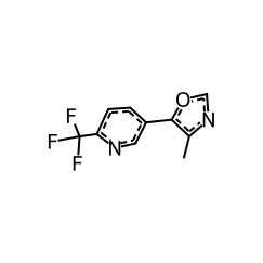 Cc1ncoc1-c1ccc(C(F)(F)F)nc1